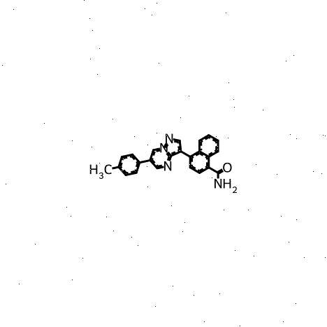 Cc1ccc(-c2cnc3c(-c4ccc(C(N)=O)c5ccccc45)cnn3c2)cc1